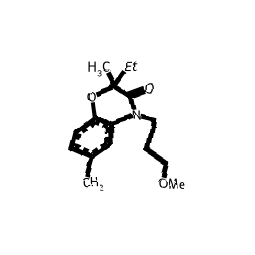 CCC1(C)Oc2ccc(C)cc2N(CCCOC)C1=O